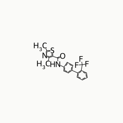 Cc1nc(C)c(C(=O)Nc2ccc(-c3ccccc3C(F)(F)F)cc2)s1